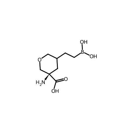 N[C@@]1(C(=O)O)COCC(CCB(O)O)C1